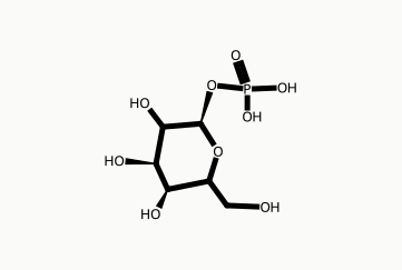 O=P(O)(O)O[C@H]1OC(CO)[C@@H](O)[C@@H](O)C1O